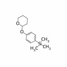 C[Si](C)(C)c1ccc(OC2CCCCO2)cc1